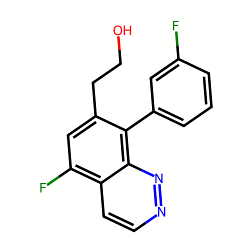 OCCc1cc(F)c2ccnnc2c1-c1cccc(F)c1